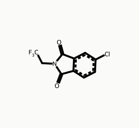 O=C1c2ccc(Cl)cc2C(=O)N1CC(F)(F)F